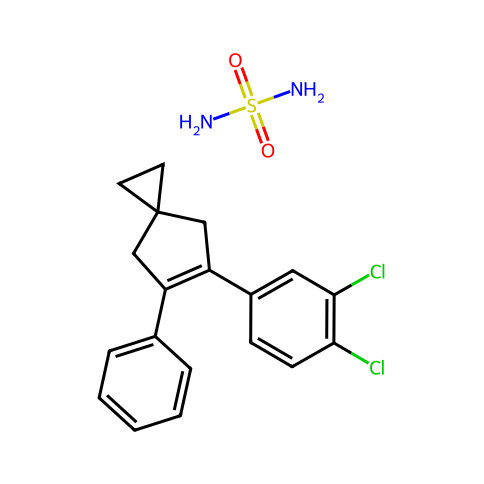 Clc1ccc(C2=C(c3ccccc3)CC3(CC3)C2)cc1Cl.NS(N)(=O)=O